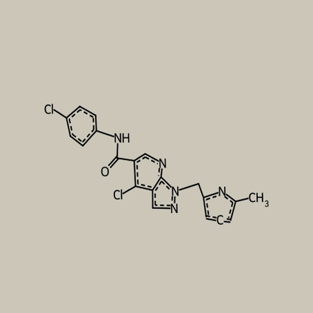 Cc1cccc(Cn2ncc3c(Cl)c(C(=O)Nc4ccc(Cl)cc4)cnc32)n1